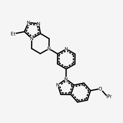 CCc1nnc2n1CCN(c1cc(-n3ncc4ccc(OC(C)C)cc43)ccn1)C2